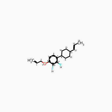 C=CCOc1ccc(C2CCC(/C=C/C)CC2)c(F)c1F